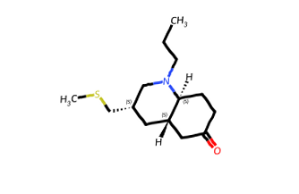 CCCN1C[C@@H](CSC)C[C@H]2CC(=O)CC[C@@H]21